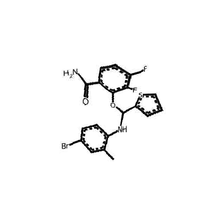 Cc1cc(Br)ccc1NC(Oc1c(C(N)=O)ccc(F)c1F)c1cccs1